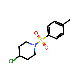 Cc1ccc(S(=O)(=O)N2CCC(Cl)CC2)cc1